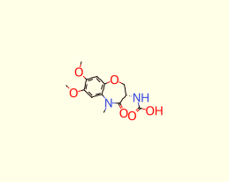 COc1cc2c(cc1OC)N(C)C(=O)[C@@H](NC(=O)O)CO2